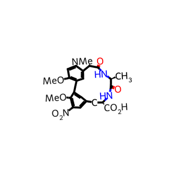 CN[C@@H]1C(=O)N[C@@H](C)C(=O)N[C@H](C(=O)O)Cc2cc(c(OC)c([N+](=O)[O-])c2)-c2cc1ccc2OC